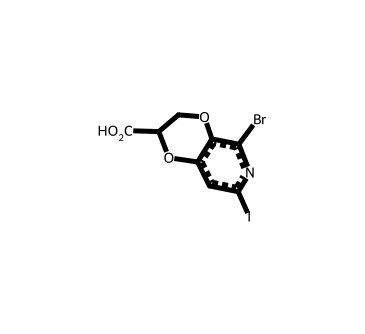 O=C(O)C1COc2c(cc(I)nc2Br)O1